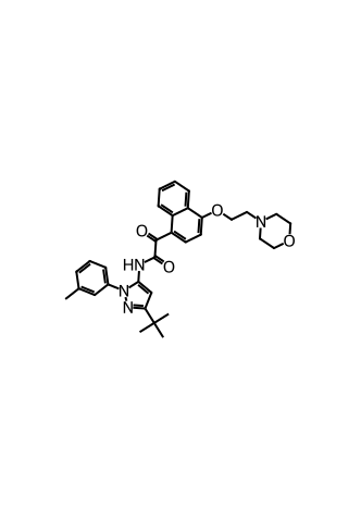 Cc1cccc(-n2nc(C(C)(C)C)cc2NC(=O)C(=O)c2ccc(OCCN3CCOCC3)c3ccccc23)c1